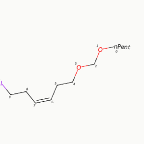 CCCCCOCOCC/C=C\CCI